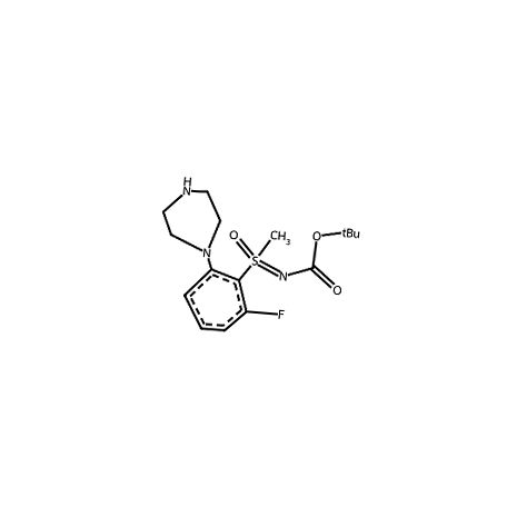 CC(C)(C)OC(=O)N=S(C)(=O)c1c(F)cccc1N1CCNCC1